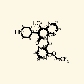 Cc1c(C2CCNCC2)c(=O)n(Cc2nccnc2OCC(F)(F)F)c2nccnc12